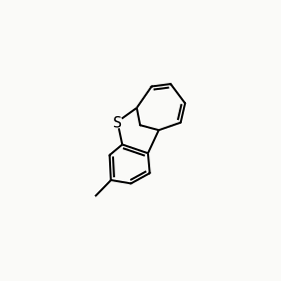 Cc1ccc2c(c1)SC1C=CC=CC2C1